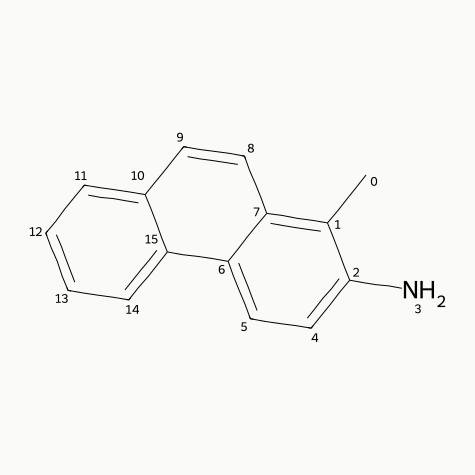 Cc1c(N)ccc2c1ccc1ccccc12